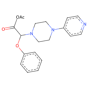 CC(=O)OC(=O)C(Oc1ccccc1)N1CCN(c2ccncc2)CC1